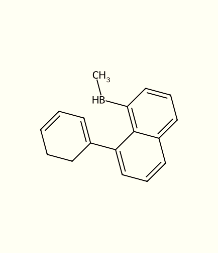 CBc1cccc2cccc(C3=CC=CCC3)c12